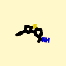 CC#Cc1ccc2sc3ccc(C(C)=N)cc3c2c1